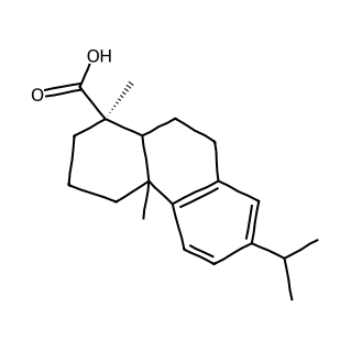 CC(C)c1ccc2c(c1)CCC1C2(C)CCC[C@@]1(C)C(=O)O